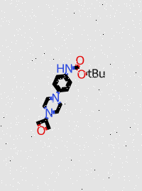 CC(C)(C)OC(=O)Nc1ccc(N2CCN(C3COC3)CC2)cc1